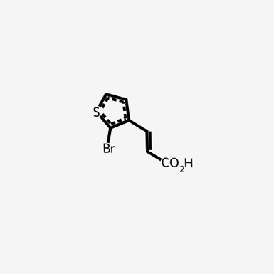 O=C(O)C=Cc1ccsc1Br